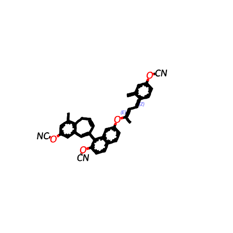 C=c1cc(OC#N)cc/c1=C/C=C(\C)Oc1ccc2ccc(OC#N)c(C3=Cc4cc(OC#N)cc(C)c4CC=C3)c2c1